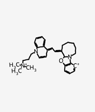 C[N+](C)(C)CCCN1C=CC(=CC=C2CCCCCN3C4=C(C=CC=[C+]4)OC23)c2ccccc21